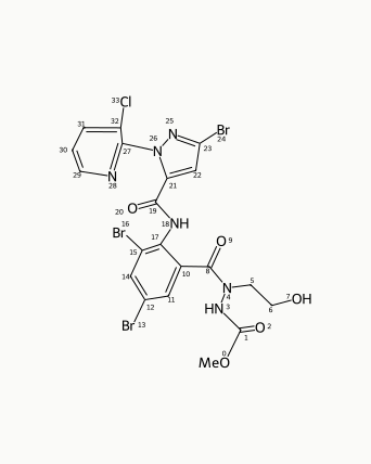 COC(=O)NN(CCO)C(=O)c1cc(Br)cc(Br)c1NC(=O)c1cc(Br)nn1-c1ncccc1Cl